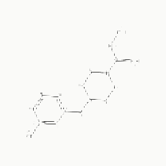 N=C(NO)N1CCC(Cc2cccc(Cl)c2)CC1